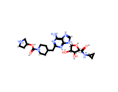 Nc1nc(CC2CCN(C(=O)OC3CCNC3)CC2)nc2c1ncn2[C@@H]1O[C@H](C(=O)NC2CC2)C(O)C1O